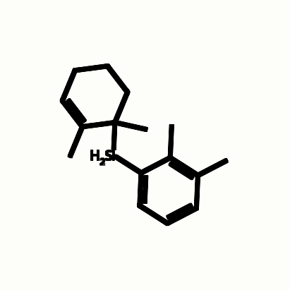 CC1=CCCCC1(C)[SiH2]c1cccc(C)c1C